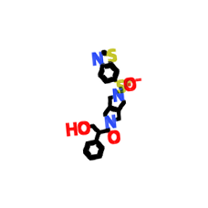 O=C(C(CO)c1ccccc1)N1CC2=C(C1)CN([S+]([O-])c1ccc3ncsc3c1)C2